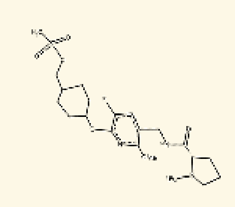 COc1nc(OC2CCC(COS(C)(=O)=O)CC2)c(F)cc1CNC(=O)[C@@H]1CCCN1C(C)(C)C